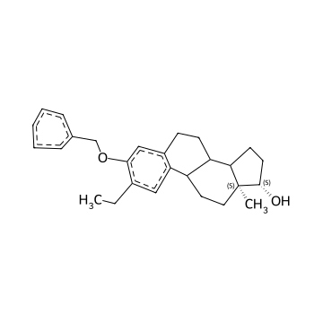 CCc1cc2c(cc1OCc1ccccc1)CCC1C2CC[C@@]2(C)C1CC[C@@H]2O